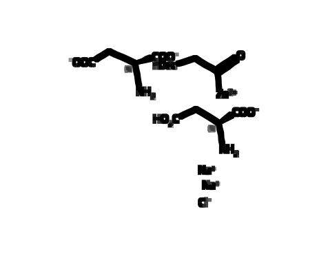 CCCCCCCCCCC[C](=O)[Zn+2].N[C@@H](CC(=O)O)C(=O)[O-].N[C@@H](CC(=O)[O-])C(=O)[O-].[Cl-].[Na+].[Na+]